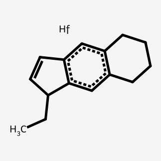 CCC1C=Cc2cc3c(cc21)CCCC3.[Hf]